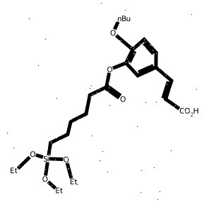 CCCCOc1ccc(/C=C/C(=O)O)cc1OC(=O)CCCCC[Si](OCC)(OCC)OCC